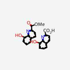 COC(=O)c1ccc2cccc(O)c2n1.O=C(O)c1ccc2cccc(O)c2n1